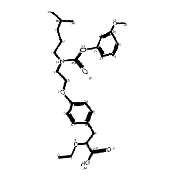 CCOC(Cc1ccc(OCCN(CCCC(C)C)C(=O)Oc2cccc(OC)c2)cc1)C(=O)O